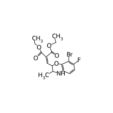 CCOC(=O)C(=CC1Oc2c(ccc(F)c2Br)NC1C)C(=O)OCC